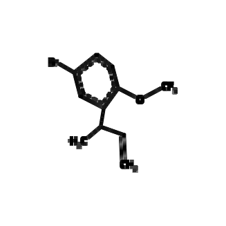 [CH2]C(C=C)c1cc(Br)ccc1OC(F)(F)F